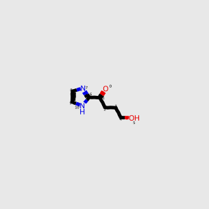 O=C(CCCO)c1ncc[nH]1